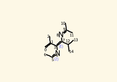 C=C(C)C(/N=C\C)=C(\N=C(C)C)C(C)C